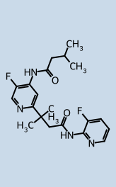 CC(C)CC(=O)Nc1cc(C(C)(C)CC(=O)Nc2ncccc2F)ncc1F